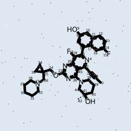 CC#Cc1nc(-c2cc(O)cc3ccc(F)cc23)c(F)c2nc(OCC3(CN4CCCCC4)CC3)nc(N3CCC[C@@](C)(O)C3)c12